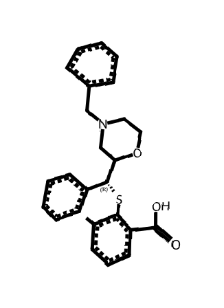 Cc1cccc(C(=O)O)c1S[C@H](c1ccccc1)C1CN(Cc2ccccc2)CCO1